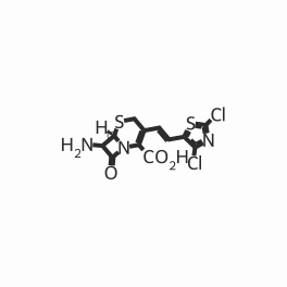 NC1C(=O)N2C(C(=O)O)=C(C=Cc3sc(Cl)nc3Cl)CS[C@@H]12